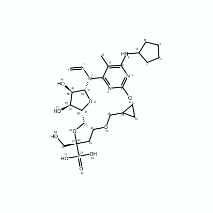 C=NN(c1nc(Cl)nc(NC2CCCC2)c1C)[C@@H]1O[C@H](CO[C@](CO)(CCOCC2CC2)P(=O)(O)O)[C@@H](O)[C@H]1O